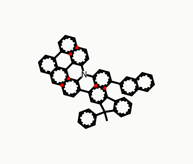 CC1(c2ccccc2)c2ccccc2-c2ccc(-c3ccccc3N(c3ccc(-c4ccc5ccccc5c4)cc3)c3ccccc3-c3cccc4cccc(-c5ccccc5)c34)cc21